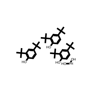 CC(C)(C)c1ccc(O)c(C(C)(C)C)c1.CC(C)(C)c1ccc(O)c(C(C)(C)C)c1.CC(C)(C)c1ccc(O)c(C(C)(C)C)c1.OPO